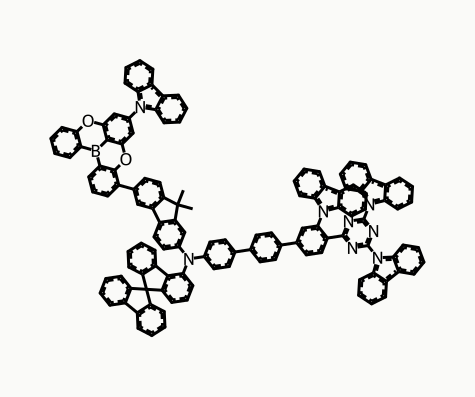 CC1(C)c2ccc(-c3cccc4c3Oc3cc(-n5c6ccccc6c6ccccc65)cc5c3B4c3ccccc3O5)cc2-c2ccc(N(c3ccc(-c4ccc(-c5ccc(-c6nc(-n7c8ccccc8c8ccccc87)nc(-n7c8ccccc8c8ccccc87)n6)c(-n6c7ccccc7c7ccccc76)c5)cc4)cc3)c3cccc4c3-c3ccccc3C43c4ccccc4-c4ccccc43)cc21